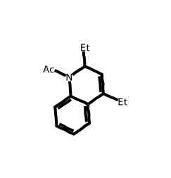 CCC1=CC(CC)N(C(C)=O)c2ccccc21